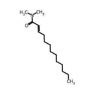 CCCCCCCCCC/C=C/C(=O)N(C)C